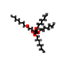 CCCCCCCOCCO[Si](OCCCCCCC)(OCCCCCCC)OCCCCCCC